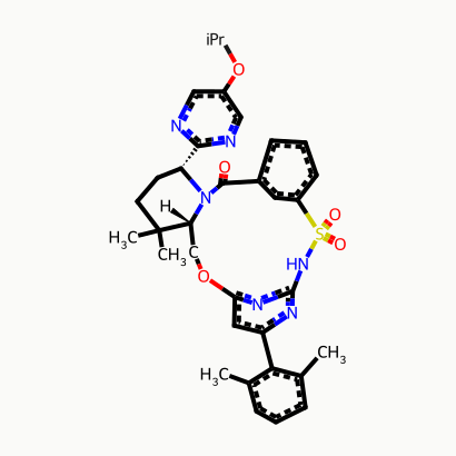 Cc1cccc(C)c1-c1cc2nc(n1)NS(=O)(=O)c1cccc(c1)C(=O)N1[C@@H](c3ncc(OC(C)C)cn3)CCC(C)(C)[C@H]1CO2